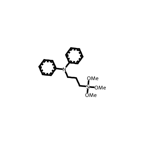 CO[Si](CCCN(c1ccccc1)c1ccccc1)(OC)OC